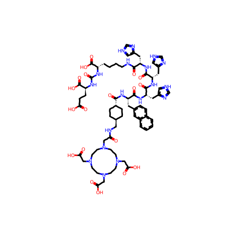 O=C(O)CC[C@H](NC(=O)N[C@@H](CCCCNC(=O)[C@H](Cc1c[nH]cn1)NC(=O)[C@H](Cc1c[nH]cn1)NC(=O)[C@H](Cc1c[nH]cn1)NC(=O)[C@H](Cc1ccc2ccccc2c1)NC(=O)[C@H]1CC[C@H](CNC(=O)CN2CCN(CC(=O)O)CCN(CC(=O)O)CCN(CC(=O)O)CC2)CC1)C(=O)O)C(=O)O